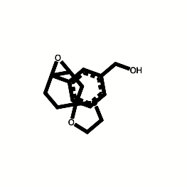 OCc1cccc(C23CCC4(CC2O3)OCCO4)c1